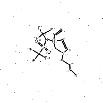 C=C[N+]1(N(C(F)(F)F)S(=O)(=O)C(F)(F)F)C=CN(CCCC)C1